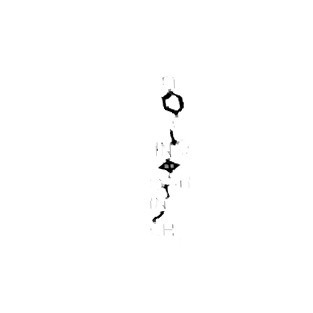 CCCNCC(=O)NC12CC1(NC(=O)COc1ccc(Cl)cc1)C2